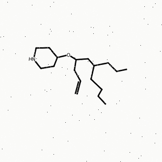 C=CCC(CC(CCC)CCCC)OC1CCNCC1